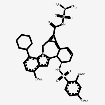 COc1ccc(S(=O)(=O)N[C@@H]2CC=CC3=C4C(=C4C(=O)NS(=O)(=O)N(C)C)Cn4c(cc5c(OC)ccc(C6CCCCC6)c54)C32)c(OC)c1